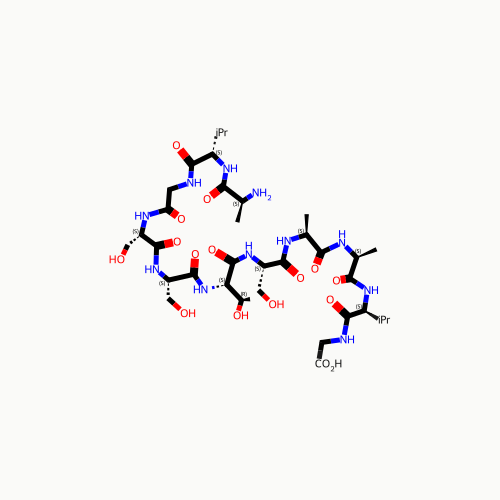 CC(C)[C@H](NC(=O)[C@H](C)N)C(=O)NCC(=O)N[C@@H](CO)C(=O)N[C@@H](CO)C(=O)N[C@H](C(=O)N[C@@H](CO)C(=O)N[C@@H](C)C(=O)N[C@@H](C)C(=O)N[C@H](C(=O)NCC(=O)O)C(C)C)[C@@H](C)O